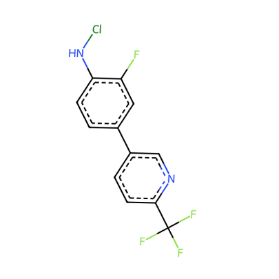 Fc1cc(-c2ccc(C(F)(F)F)nc2)ccc1NCl